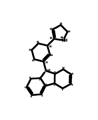 C1=CCC2C(=C1)C1CC=CCC1N2C1=CC(C2=CCCN2)CCC1